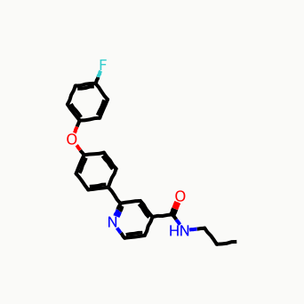 CCCNC(=O)c1ccnc(-c2ccc(Oc3ccc(F)cc3)cc2)c1